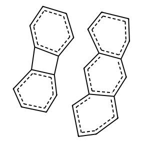 c1ccc2c(c1)-c1ccccc1-2.c1ccc2cc3ccccc3cc2c1